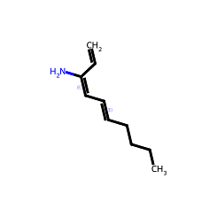 C=C/C(N)=C\C=C\CCCC